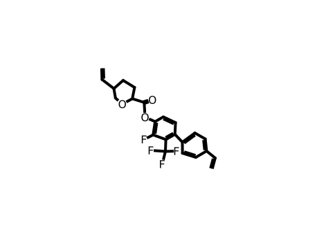 C=Cc1ccc(-c2ccc(OC(=O)C3CCC(C=C)CO3)c(F)c2C(F)(F)F)cc1